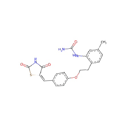 Cc1ccc(CCOc2ccc(C=C3SC(=O)NC3=O)cc2)c(NC(N)=O)c1